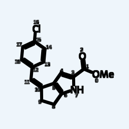 COC(=O)c1cc2c([nH]1)CCC2=Cc1ccc(Cl)cc1